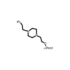 CCC[C@H](C)OCCN1CCN(CCC(C)C)CC1